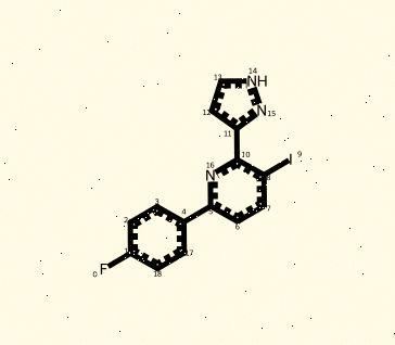 Fc1ccc(-c2ccc(I)c(-c3cc[nH]n3)n2)cc1